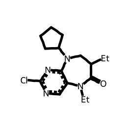 CCC1CN(C2CCCC2)c2nc(Cl)ncc2N(CC)C1=O